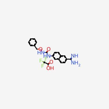 N=C(N)c1ccc2cc(NC(=O)NOCc3ccccc3)ccc2c1.O=C(O)C(F)(F)F